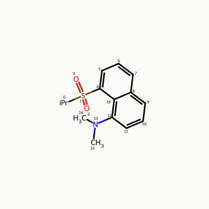 CC(C)S(=O)(=O)c1cccc2cccc(N(C)C)c12